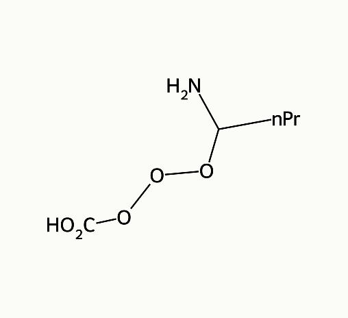 CCCC(N)OOOC(=O)O